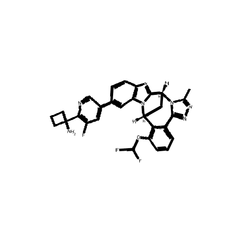 Cc1nnc2n1[C@@H]1C[C@H](c3c(OC(F)F)cccc3-2)n2c1nc1ccc(-c3cnc(C4(N)CCC4)c(F)c3)cc12